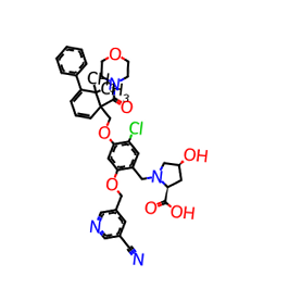 CC1(C)C(c2ccccc2)=CC=CC1(COc1cc(OCc2cncc(C#N)c2)c(CN2C[C@@H](O)C[C@H]2C(=O)O)cc1Cl)C(=O)N1CCOCC1